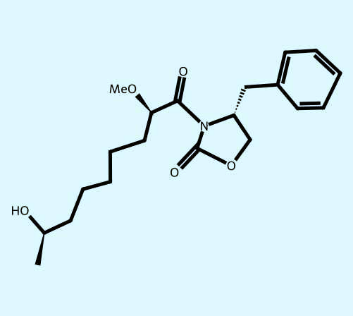 CO[C@H](CCCCC[C@@H](C)O)C(=O)N1C(=O)OC[C@H]1Cc1ccccc1